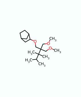 COCC(COC)(COC1CC2CCC1C2)C(C)(C)C(C)C